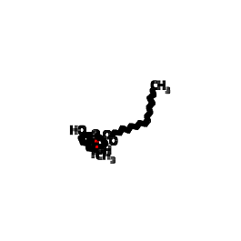 CCCCCCCC/C=C\CCCCCCCC(=O)OC1=CC[C@@]2(O)[C@H]3Cc4ccc(O)c5c4C2(CCN3C)C1O5